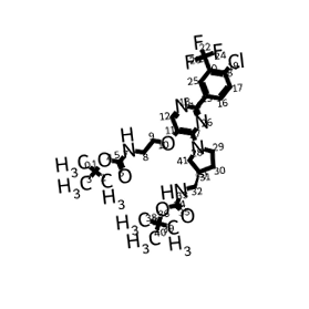 CC(C)(C)OC(=O)NCCOc1cnc(-c2ccc(Cl)c(C(F)(F)F)c2)nc1N1CC[C@@H](CNC(=O)OC(C)(C)C)C1